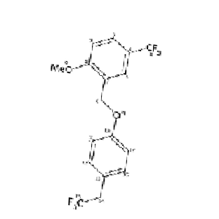 COc1ccc(C(F)(F)F)cc1COc1[c]cc(CC(F)(F)F)cc1